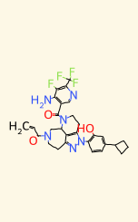 C=CC(=O)N1CCc2nn(-c3ccc(C4CCC4)cc3O)c3c2C(C1)N(C(=O)c1cnc(C(F)(F)F)c(F)c1N)CC3